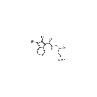 CCC(CCNC)CNC(=O)n1c(=O)n(C(C)C)c2ccccc21